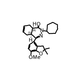 COc1ccc(C2=NN(C3CCCCCC3)C(=O)[C@@H]3CC=CC[C@H]23)c2c1OC(C)(C)C2